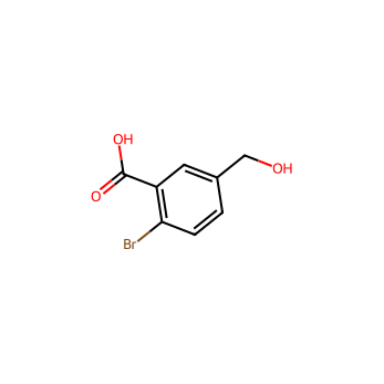 O=C(O)c1cc(CO)ccc1Br